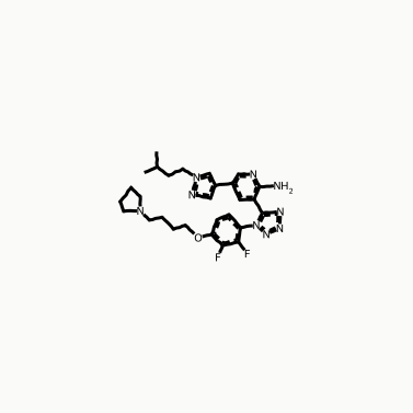 CC(C)CCn1cc(-c2cnc(N)c(-c3nnnn3-c3ccc(OCCCCN4CCCC4)c(F)c3F)c2)cn1